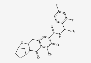 CC(NC(=O)c1cn2c(c(O)c1=O)C(=O)N1C3CCC(C3)OC1C2)c1ccc(F)cc1F